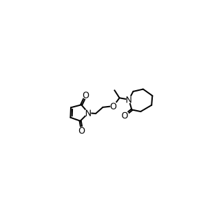 CC(OCCN1C(=O)C=CC1=O)N1CCCCCC1=O